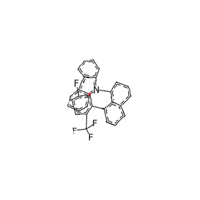 Fc1ccc(C(F)(F)F)c(-c2cccc3cccc(-n4c5ccccc5c5ccccc54)c23)c1